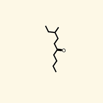 CCCCC(=O)CCC(C)CC